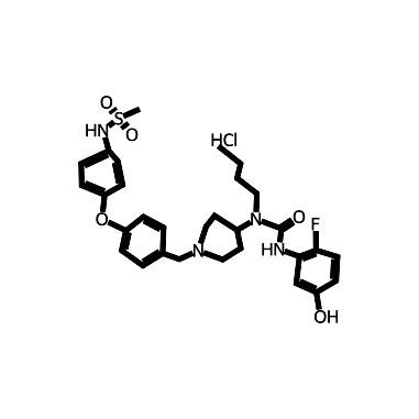 CCCCN(C(=O)Nc1cc(O)ccc1F)C1CCN(Cc2ccc(Oc3ccc(NS(C)(=O)=O)cc3)cc2)CC1.Cl